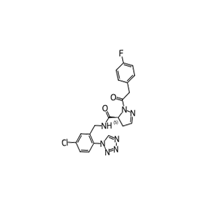 O=C(NCc1cc(Cl)ccc1-n1cnnn1)[C@@H]1CC=NN1C(=O)Cc1ccc(F)cc1